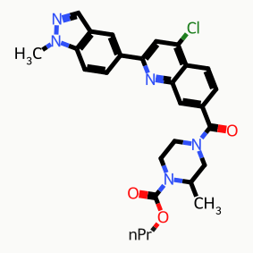 CCCOC(=O)N1CCN(C(=O)c2ccc3c(Cl)cc(-c4ccc5c(cnn5C)c4)nc3c2)CC1C